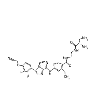 CCc1cc(Nc2nccn3c(-c4ccc(OCC#N)c(F)c4F)cnc23)ccc1C(=O)NCCNC(=O)[C@@H](N)CN